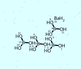 OB(O)O.OB(O)O.OB(O)O.OB(O)O.[BaH2]